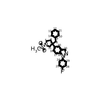 CS(=O)(=O)N1CCC(Cc2ccccc2)(c2ccc3c(cnn3-c3ccc(F)cc3)c2)C1